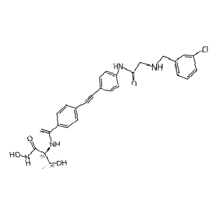 C=C(N[C@H](C(=O)NO)[C@@H](C)O)c1ccc(C#Cc2ccc(NC(=O)CNCc3cccc(Cl)c3)cc2)cc1